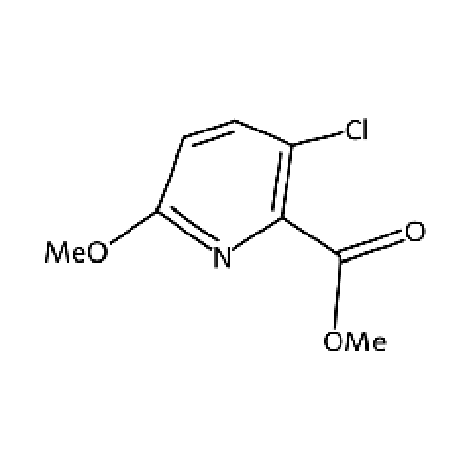 COC(=O)c1nc(OC)ccc1Cl